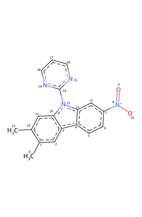 Cc1cc2c3ccc([N+](=O)[O-])cc3n(-c3ncccn3)c2cc1C